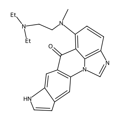 CCN(CC)CCN(C)c1ccc2ncn3c4cc5cc[nH]c5cc4c(=O)c1c23